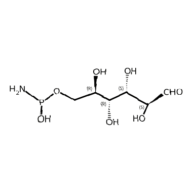 NP(O)OC[C@@H](O)[C@@H](O)[C@H](O)[C@H](O)C=O